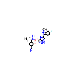 C[C@@H](NC(=O)Oc1c[nH]c2ncc(-c3nn(C)c4cc(F)ccc34)nc12)c1ccc(C#N)cc1